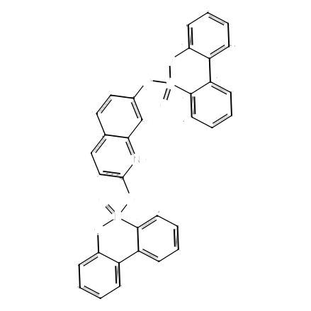 O=P1(Oc2ccc3ccc(OP4(=O)Oc5ccccc5-c5ccccc54)nc3c2)Oc2ccccc2-c2ccccc21